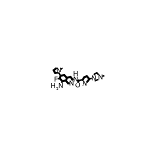 CN1CCN(c2ccc(C(=O)Nc3cc4cc(-c5cccn5C)c(F)c(N)c4cn3)nc2)CC1